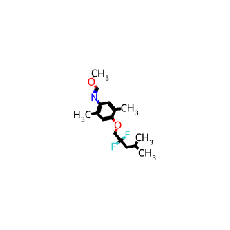 COC=Nc1cc(C)c(OCC(F)(F)CC(C)C)cc1C